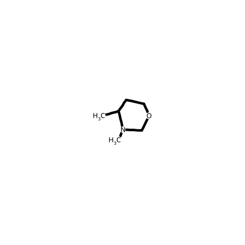 CC1CCOCN1C